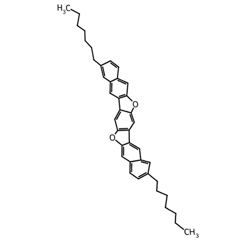 CCCCCCCc1ccc2cc3oc4cc5c(cc4c3cc2c1)oc1cc2ccc(CCCCCCC)cc2cc15